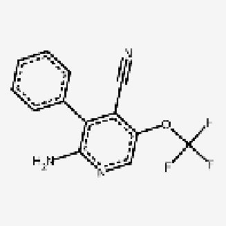 N#Cc1c(OC(F)(F)F)cnc(N)c1-c1ccccc1